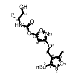 CCCCc1noc(C)c1COc1cc(OC(=O)N[C@H](C)CO)on1